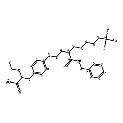 CCOC(Cc1ccc(OCCN(CCCCCC(F)(F)F)C(=O)NCc2ccccc2)cc1)C(=O)O